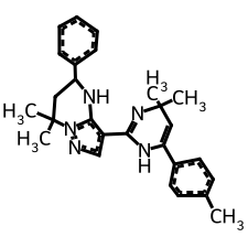 Cc1ccc(C2=CC(C)(C)N=C(c3cnn4c3NC(c3ccccc3)CC4(C)C)N2)cc1